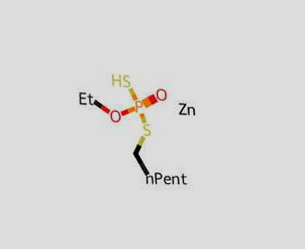 CCCCCCSP(=O)(S)OCC.[Zn]